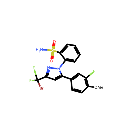 COc1ccc(-c2cc(C(F)(F)Br)nn2-c2ccccc2S(N)(=O)=O)cc1F